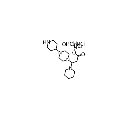 Cl.Cl.O=CNOC(=O)CC(N1CCCCC1)N1CCN(C2CCNCC2)CC1